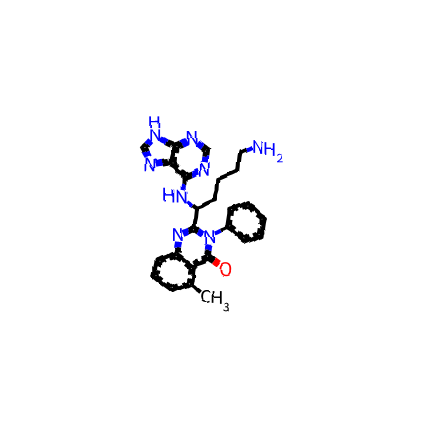 Cc1cccc2nc(C(CCCCN)Nc3ncnc4[nH]cnc34)n(-c3ccccc3)c(=O)c12